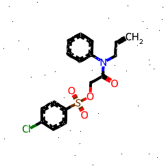 C=CCN(C(=O)COS(=O)(=O)c1ccc(Cl)cc1)c1ccccc1